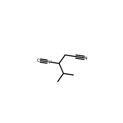 [C-]#[N+]C(CC#N)C(C)C